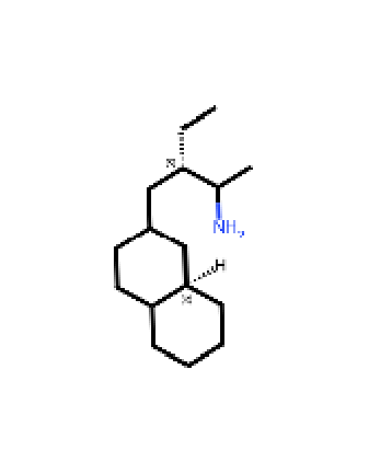 CC[C@@H](CC1CCC2CCCC[C@@H]2C1)C(C)N